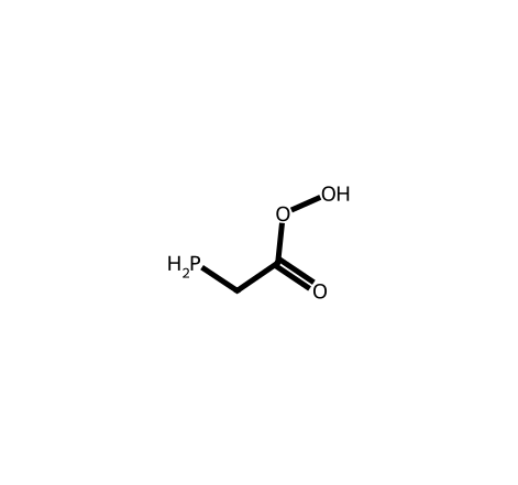 O=C(CP)OO